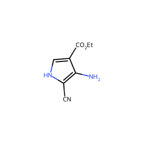 CCOC(=O)c1c[nH]c(C#N)c1N